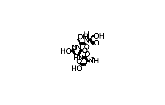 CN[C@@H](CC(=O)O)C(=O)N[C@@H](CC(=O)O)C(=O)N[C@@H](CO)C(=O)N[C@H](C=O)CO